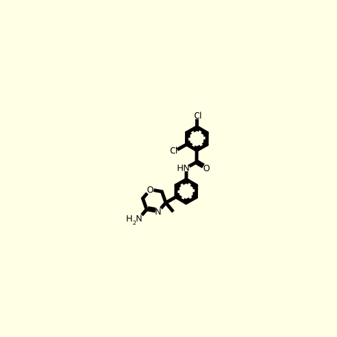 CC1(c2cccc(NC(=O)c3ccc(Cl)cc3Cl)c2)COCC(N)=N1